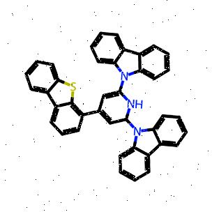 C1=C(c2cccc3c2sc2ccccc23)C=C(n2c3ccccc3c3ccccc32)NC1n1c2ccccc2c2ccccc21